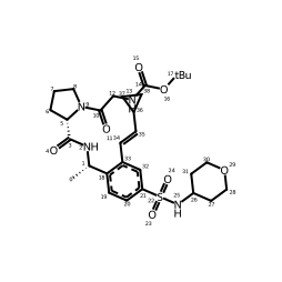 C[C@H](NC(=O)[C@@H]1CCCN1C(=O)CNC(=O)OC(C)(C)C)c1ccc(S(=O)(=O)NC2CCOCC2)cc1/C=C/C1CC1